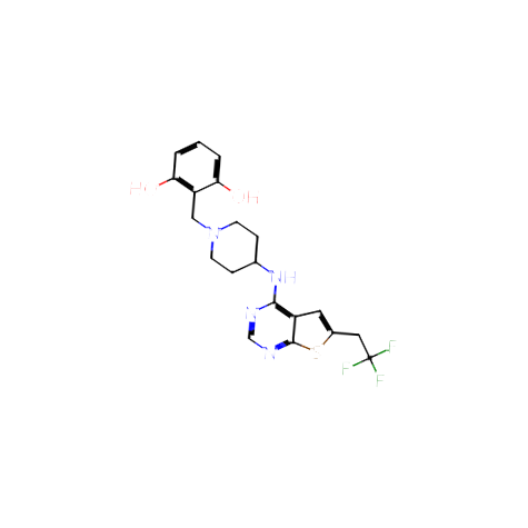 Oc1cccc(O)c1CN1CCC(Nc2ncnc3sc(CC(F)(F)F)cc23)CC1